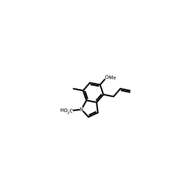 C=CCc1c(OC)cc(C)c2c1ccn2C(=O)O